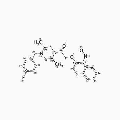 C[C@@H]1CN(C(=O)COc2ccc3ccccc3c2N=O)[C@@H](C)CN1Cc1ccc(F)cc1